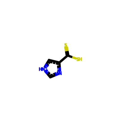 S=C(S)c1c[nH]cn1